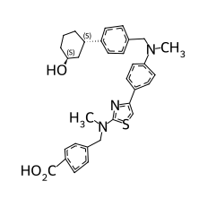 CN(Cc1ccc([C@H]2CCC[C@H](O)C2)cc1)c1ccc(-c2csc(N(C)Cc3ccc(C(=O)O)cc3)n2)cc1